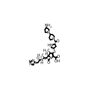 C[C@@H](NC(=O)Cn1cnnn1)[C@H]1C(=O)N2C(C(=O)O)=C(S[C@@H]3CN[C@H](C(=O)N4CCC(N5CC[C@@H](N)C5)CC4)C3)[C@H](C)[C@H]12